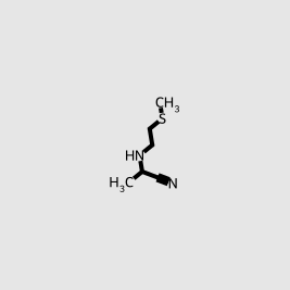 CSCCNC(C)C#N